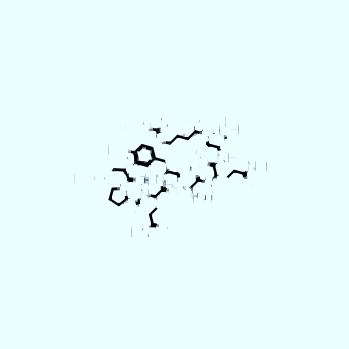 CC[C@H](C)[C@H](NC(=O)[C@H](Cc1ccc(O)cc1)NC(=O)[C@H](CCC(N)=O)NC(=O)[C@@H]1CCCN1C(=O)[C@@H](N)CC(=O)O)C(=O)N[C@@H](CCC(N)=O)C(=O)N[C@@H](CO)C(=O)N[C@@H](CCCN=C(N)N)C(=O)O